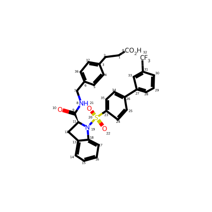 O=C(O)CCc1ccc(CNC(=O)[C@@H]2Cc3ccccc3N2S(=O)(=O)c2ccc(-c3cccc(C(F)(F)F)c3)cc2)cc1